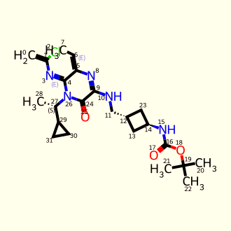 C=C(Cl)/N=C1\C(=C/C)N=C(NC[C@H]2C[C@H](NC(=O)OC(C)(C)C)C2)C(=O)N1[C@@H](C)C1CC1